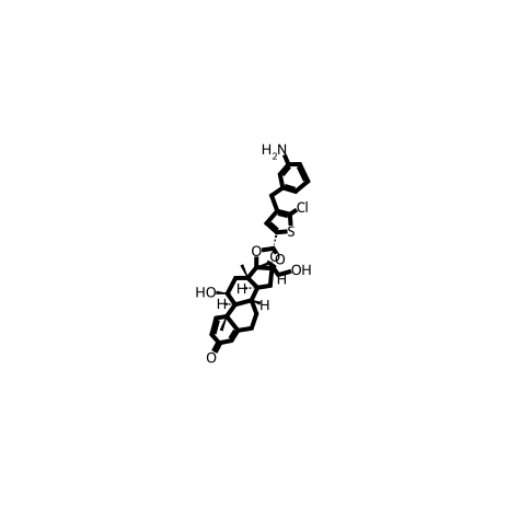 C[C@]12C=CC(=O)C=C1CC[C@@H]1[C@@H]2[C@@H](O)C[C@@]2(C)[C@H]1C[C@H]1O[C@@H](c3cc(Cc4cccc(N)c4)c(Cl)s3)O[C@]12C(=O)CO